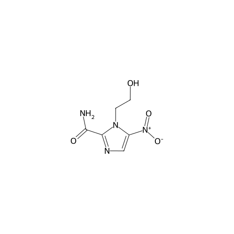 NC(=O)c1ncc([N+](=O)[O-])n1CCO